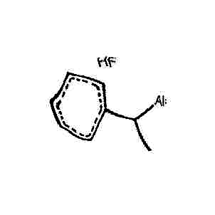 C[CH]([Al])c1ccccc1.F